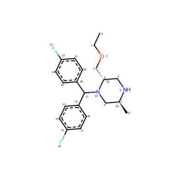 CCOC[C@@H]1CN[C@@H](C)CN1C(c1ccc(F)cc1)c1ccc(F)cc1